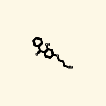 CC(C)(C)CCCOc1ccc(C(=O)c2ccccc2)c(O)c1